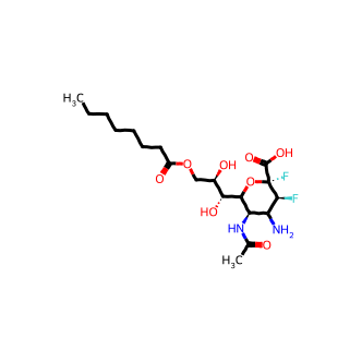 CCCCCCCC(=O)OC[C@@H](O)[C@@H](O)C1O[C@@](F)(C(=O)O)[C@@H](F)C(N)[C@H]1NC(C)=O